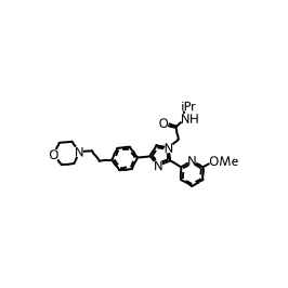 COc1cccc(-c2nc(-c3ccc(CCN4CCOCC4)cc3)cn2CC(=O)NC(C)C)n1